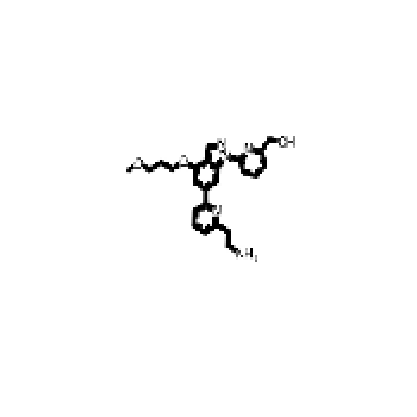 COCCCOc1cc(-c2cccc(CCN)n2)cc2c1cnn2-c1cccc(CO)n1